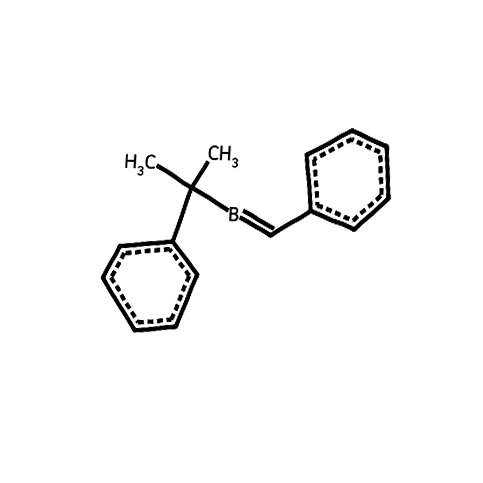 CC(C)(B=Cc1ccccc1)c1ccccc1